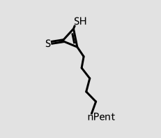 CCCCCCCCCCc1c(S)c1=S